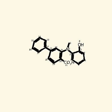 CN(c1ccccc1O)c1cc(-c2ccccc2)ccc1C(=O)O